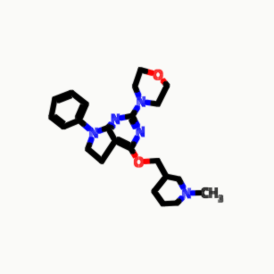 CN1CCCC(COc2nc(N3CCOCC3)nc3c2CCN3c2ccccc2)C1